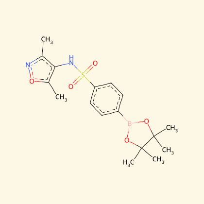 Cc1noc(C)c1NS(=O)(=O)c1ccc(B2OC(C)(C)C(C)(C)O2)cc1